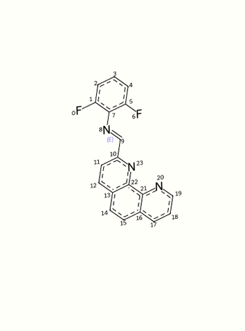 Fc1cccc(F)c1/N=C/c1ccc2ccc3cccnc3c2n1